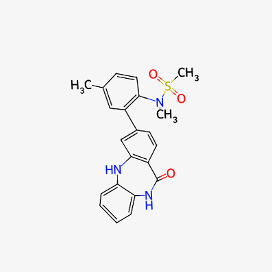 Cc1ccc(N(C)S(C)(=O)=O)c(-c2ccc3c(c2)Nc2ccccc2NC3=O)c1